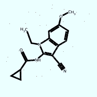 CCn1c(NC(=O)C2CC2)c(C#N)c2ccc(OC)cc21